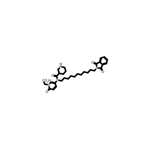 O=C(O)Cn1cc(N(CCCCCCCCCCCN2C(=O)c3ccccc3C2=O)C(=O)C2CCCNC2)ccc1=O